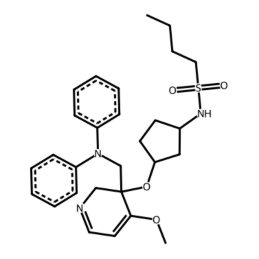 CCCCS(=O)(=O)NC1CCC(OC2(CN(c3ccccc3)c3ccccc3)CN=CC=C2OC)C1